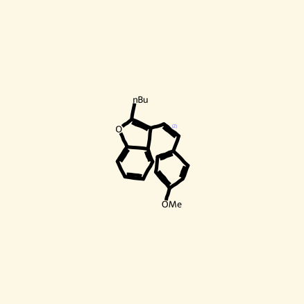 CCCCc1oc2ccccc2c1/C=C\c1ccc(OC)cc1